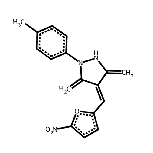 C=C1NN(c2ccc(C)cc2)C(=C)/C1=C\c1ccc([N+](=O)[O-])o1